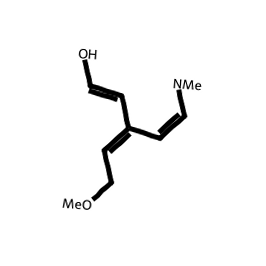 CN/C=C\C(C=CO)=C/COC